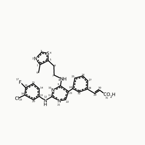 Cc1ncsc1CCNc1nc(Nc2ccc(F)c(Cl)c2)ncc1-c1cccc(/C=C/C(=O)O)c1